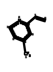 C=Cc1cc(C(F)(F)F)ccn1